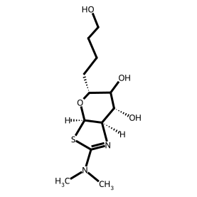 CN(C)C1=N[C@H]2[C@H](O[C@H](CCCCO)C(O)[C@@H]2O)S1